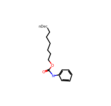 CCCCCCCCCCCCCCCCOC(=O)[N]c1ccccc1